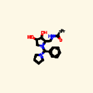 CCCC(=O)NCC1C(O)C(O)CN1C(c1ccccc1)N1CCCC1